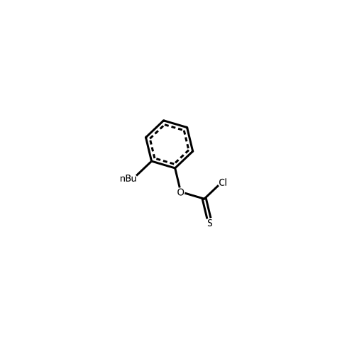 CCCCc1ccccc1OC(=S)Cl